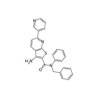 Nc1c(C(=O)N(Cc2ccccc2)c2ccccc2)sc2nc(-c3cccnc3)ccc12